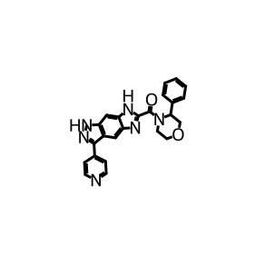 O=C(c1nc2cc3c(-c4ccncc4)n[nH]c3cc2[nH]1)N1CCOCC1c1ccccc1